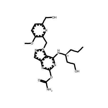 CCC[C@@H](CCO)Nc1nc(OC(N)=O)nc2cnn(Cc3nc(CO)ccc3OC)c12